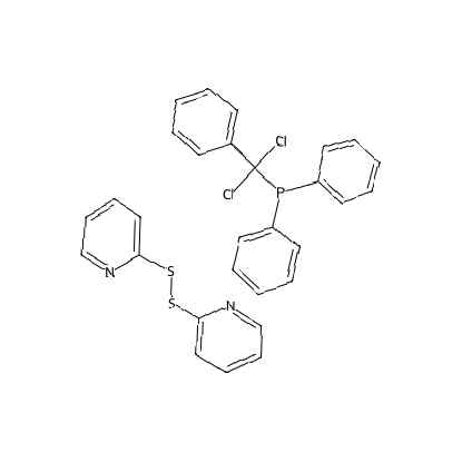 ClC(Cl)(c1ccccc1)P(c1ccccc1)c1ccccc1.c1ccc(SSc2ccccn2)nc1